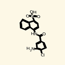 Nc1cc(C(=O)Nc2ccc(S(=O)(=O)O)c3ccccc23)ccc1Cl